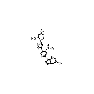 CC(=O)N1CC[C@H](n2cc(-c3cnc(-n4ncc5cc(C#N)cnc54)cc3NC(C)C)nn2)[C@H](O)C1